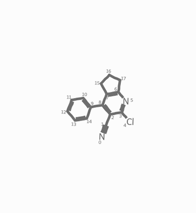 N#Cc1c(Cl)nc2c(c1-c1ccccc1)CCC2